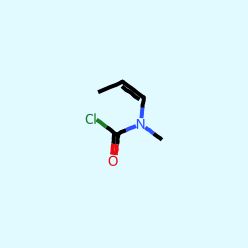 C/C=C\N(C)C(=O)Cl